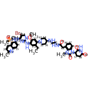 CCc1cc(Nc2ncc(Br)c(Nc3ccc4nc(C)ccc4c3P(C)(C)=O)n2)c(OC)cc1N1CCC(NCCNC(=O)Cc2cccc3c2n(C)c(=O)n3C2CCC(=O)NC2=O)CC1